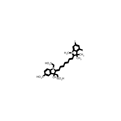 C[N+]1=C(/C=C/C=C/C=C/C=C2\N(CS(=O)(=O)O)c3ccc(S(=O)(=O)O)cc3C2(C)CS(=O)(=O)O)C(C)(C)c2c(I)cc(I)cc21